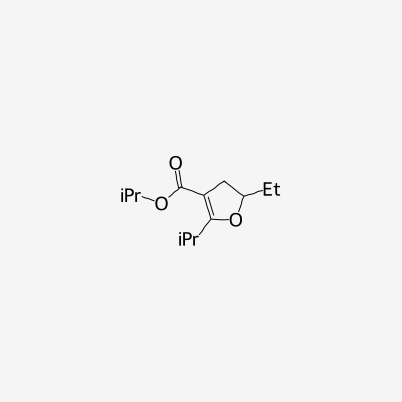 CCC1CC(C(=O)OC(C)C)=C(C(C)C)O1